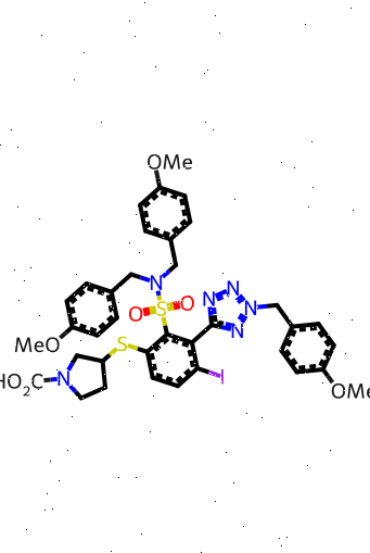 COc1ccc(CN(Cc2ccc(OC)cc2)S(=O)(=O)c2c(SC3CCN(C(=O)O)C3)ccc(I)c2-c2nnn(Cc3ccc(OC)cc3)n2)cc1